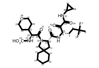 CC(F)(F)CC[C@H](NC(=O)[C@@H]1CC2(CCCCC2)CN1C(=O)[C@@H](NC(=O)O)C1CCOCC1)C(=O)C(=O)NC1CC1